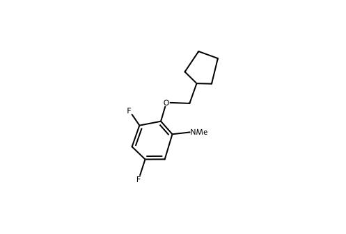 CNc1cc(F)cc(F)c1OCC1CCCC1